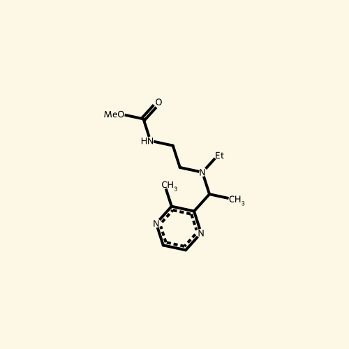 CCN(CCNC(=O)OC)C(C)c1nccnc1C